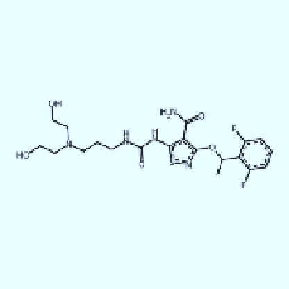 CC(Oc1nsc(NC(=O)NCCCN(CCO)CCO)c1C(N)=O)c1c(F)cccc1F